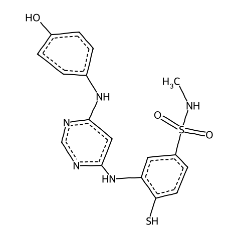 CNS(=O)(=O)c1ccc(S)c(Nc2cc(Nc3ccc(O)cc3)ncn2)c1